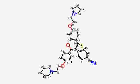 N#Cc1ccc2c(C(=O)c3ccc(OCCN4CCCCC4)cc3)c(-c3ccc(OCCN4CCCC4)cc3)sc2c1